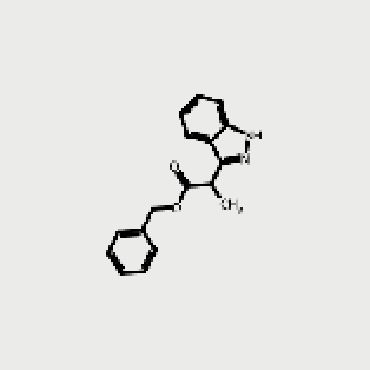 CC(C(=O)OCc1ccccc1)c1n[nH]c2ccccc12